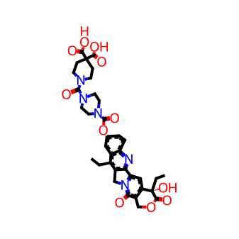 CCc1c2c(nc3ccc(OC(=O)N4CCN(C(=O)N5CCC(C(=O)O)(C(=O)O)CC5)CC4)cc13)-c1cc3c(c(=O)n1C2)COC(=O)[C@]3(O)CC